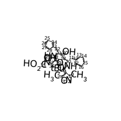 Cc1noc(C)c1C(=O)N[C@@H](Cc1ccccc1)C[C@H](O)[C@H](Cc1ccccc1)NC(=O)[C@@H](N(C)C(=O)O)C(C)(C)C